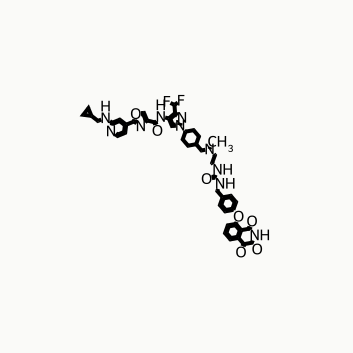 CN(CCNC(=O)NCc1ccc(Oc2cccc3c2C(=O)NC(=O)C3=O)cc1)CC1CCC(n2cc(NC(=O)c3coc(-c4ccnc(NCC5CC5)c4)n3)c(C(F)F)n2)CC1